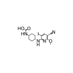 COc1nc(N[C@H]2CC[C@H](NC(=O)O)CC2)c(I)cc1C#N